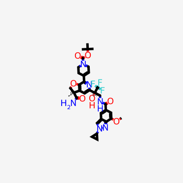 COc1cc(C(=O)NC[C@](O)(c2cc3c(c(C4=CCN(C(=O)OC(C)(C)C)CC4)n2)OC[C@]3(C)C(N)=O)C(F)(F)F)cc2cn(C3CC3)nc12